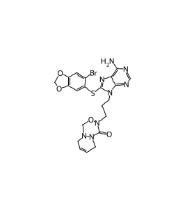 Nc1ncnc2c1nc(Sc1cc3c(cc1Br)OCO3)n2CCCN1OCN2CC=CCN2C1=O